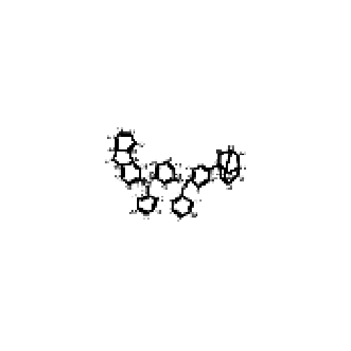 c1ccc(N(c2ccc(C34CC5CC(CC(C5)C3)C4)cc2)c2cccc(N(c3ccccc3)c3ccc4c(c3)-c3ccccc3C4)c2)cc1